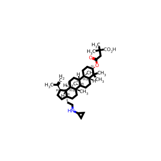 C=C(C)[C@@H]1CC[C@]2(CCNC3CC3)CC[C@]3(C)[C@H](CC[C@@H]4[C@@]5(C)CC[C@H](OC(=O)CC(C)(C)C(=O)O)C(C)(C)[C@@H]5CC[C@]43C)[C@@H]12